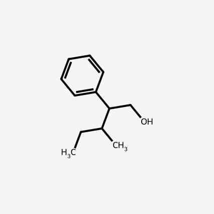 CCC(C)C(CO)c1ccccc1